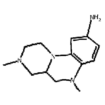 CN1CCN2c3cc(N)ccc3N(C)CC2C1